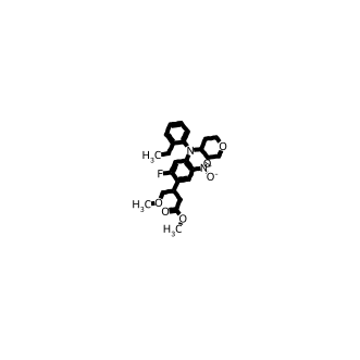 CCc1ccccc1N(c1cc(F)c(C(COC)CC(=O)OC)cc1[N+](=O)[O-])C1CCOCC1